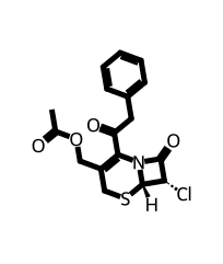 CC(=O)OCC1=C(C(=O)Cc2ccccc2)N2C(=O)[C@H](Cl)[C@@H]2SC1